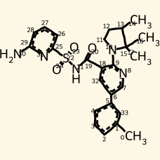 Cc1cccc(-c2cnc(N3CCC(C)C3(C)C)c(C(=O)NS(=O)(=O)c3cccc(N)n3)c2)c1